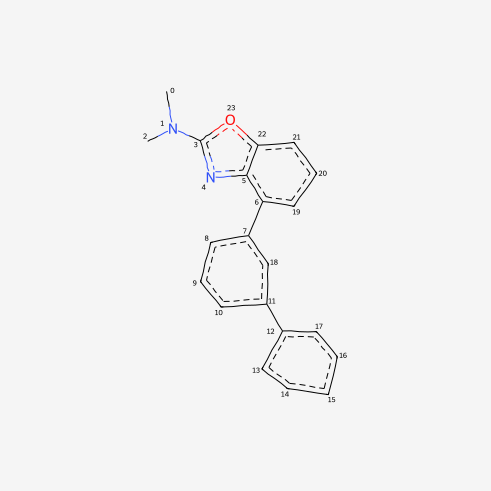 CN(C)c1nc2c(-c3cccc(-c4ccccc4)c3)cccc2o1